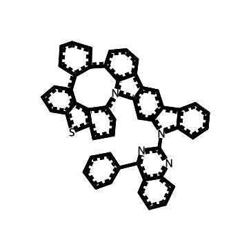 c1ccc(-c2nc(-n3c4ccccc4c4cc5c6cccc7c8ccccc8c8cccc9sc%10cccc(c%10c98)n(c5cc43)c76)nc3ccccc23)cc1